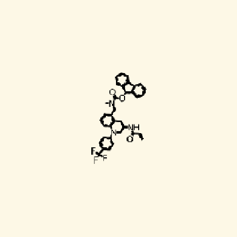 C=CC(=O)NC1Cc2c(CN(C)C(=O)OC3c4ccccc4-c4ccccc43)cccc2N(c2ccc(C(F)(F)F)cc2)C1